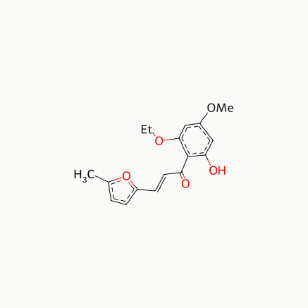 CCOc1cc(OC)cc(O)c1C(=O)/C=C/c1ccc(C)o1